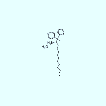 CCCCCCCCCCCC(N)C(C)(c1ccccc1)c1ccccc1.O